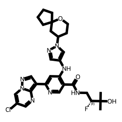 CC(C)(O)[C@H](F)CNC(=O)c1cnc(-c2cnn3cc(Cl)cnc23)cc1Nc1cnn(C2CCOC3(CCCC3)C2)c1